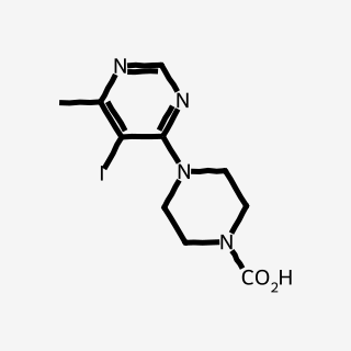 Cc1ncnc(N2CCN(C(=O)O)CC2)c1I